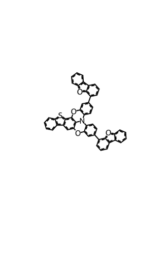 c1ccc2c(c1)oc1c(-c3ccc4c(c3)Oc3cc5c(sc6ccccc65)c5c3N4c3ccc(-c4cccc6c4oc4ccccc46)cc3O5)cccc12